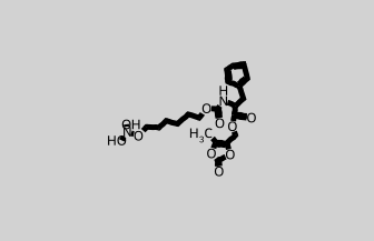 Cc1oc(=O)oc1COC(=O)C(Cc1ccccc1)NC(=O)OCCCCCCON(O)O